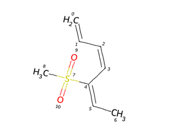 C=C/C=C\C(=C/C)S(C)(=O)=O